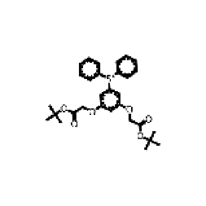 CC(C)(C)OC(=O)COc1cc(OCC(=O)OC(C)(C)C)cc([S+](c2ccccc2)c2ccccc2)c1